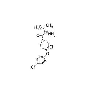 CC(C)[C@H](N)C(=O)N1CCC(Oc2ccc(Cl)cc2)CC1.Cl